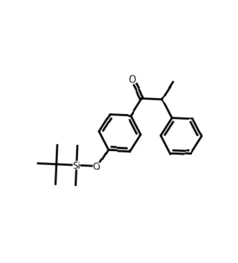 CC(C(=O)c1ccc(O[Si](C)(C)C(C)(C)C)cc1)c1ccccc1